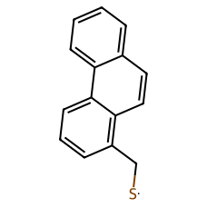 [S]Cc1cccc2c1ccc1ccccc12